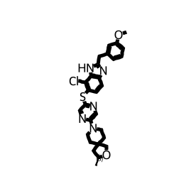 COc1cccc(Cc2nc3ccc(Sc4cnc(N5CCC6(CC5)CO[C@@H](C)C6)cn4)c(Cl)c3[nH]2)c1